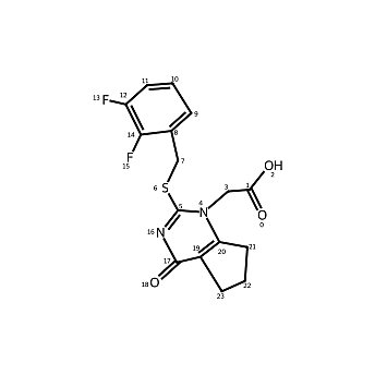 O=C(O)Cn1c(SCc2cccc(F)c2F)nc(=O)c2c1CCC2